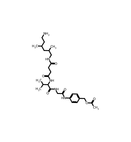 CC(=O)OCc1ccc(NC(=O)CNC(=O)C(NC(=O)CCC(=O)NCC(C)CC(C)CCN)C(C)C)cc1